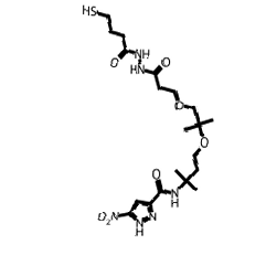 CC(C)(CCOC(C)(C)COCCC(=O)NNC(=O)CCCS)NC(=O)c1cc([N+](=O)[O-])[nH]n1